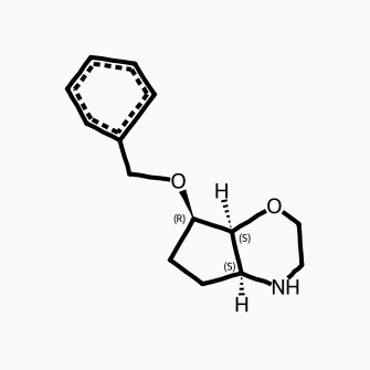 c1ccc(CO[C@@H]2CC[C@@H]3NCCO[C@@H]32)cc1